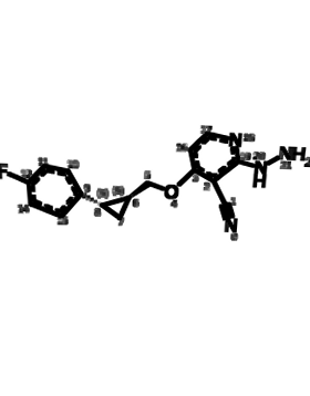 N#Cc1c(OC[C@H]2C[C@@H]2c2ccc(F)cc2)ccnc1NN